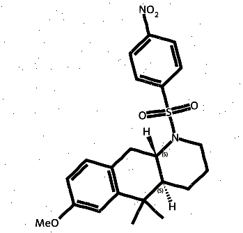 COc1ccc2c(c1)C(C)(C)[C@@H]1CCCN(S(=O)(=O)c3ccc([N+](=O)[O-])cc3)[C@H]1C2